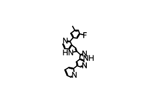 Cc1cc(F)cc(-c2nccc3[nH]c(-c4n[nH]c5ncc(-c6ccccn6)cc45)cc23)c1